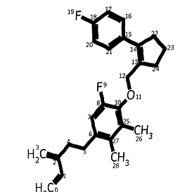 C=CC(=C)CCc1cc(F)c(OCC2=C(c3ccc(F)cc3)CCC2)c(C)c1C